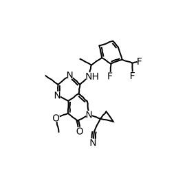 COc1c(=O)n(C2(C#N)CC2)cc2c(NC(C)c3cccc(C(F)F)c3F)nc(C)nc12